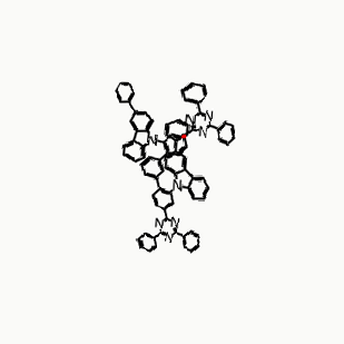 c1ccc(-c2ccc3c(c2)c2ccccc2n3-c2cc(-c3nc(-c4ccccc4)nc(-c4ccccc4)n3)ccc2-c2cccc(-c3ccc(-c4nc(-c5ccccc5)nc(-c5ccccc5)n4)cc3-n3c4ccccc4c4cc(-c5ccccc5)ccc43)c2)cc1